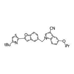 CC(C)Oc1ccc2c(c1)c(C#N)cn2Cc1ccc2oc(-c3nc(C(C)(C)C)cs3)cc2c1